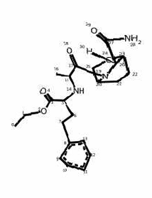 CCOC(=O)[C@H](CCc1ccccc1)N[C@@H](C)C(=O)N1C2CCC(CC2)[C@H]1C(N)=O